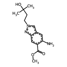 COC(=O)c1cc2nn(CCC(C)(C)O)cc2cc1N